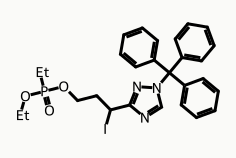 CCOP(=O)(CC)OCCC(I)c1ncn(C(c2ccccc2)(c2ccccc2)c2ccccc2)n1